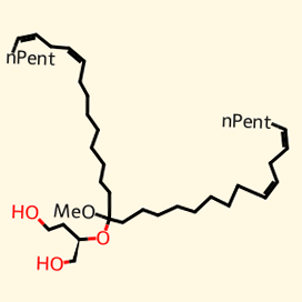 CCCCC/C=C\C/C=C\CCCCCCCCC(CCCCCCCC/C=C\C/C=C\CCCCC)(OC)O[C@@H](CO)CCO